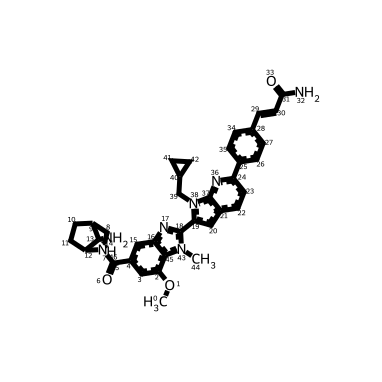 COc1cc(C(=O)N2CC3CCC2[C@@H]3N)cc2nc(-c3cc4ccc(-c5ccc(/C=C/C(N)=O)cc5)nc4n3CC3CC3)n(C)c12